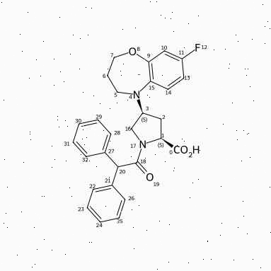 O=C(O)[C@@H]1C[C@H](N2CCCOc3cc(F)ccc32)CN1C(=O)C(c1ccccc1)c1ccccc1